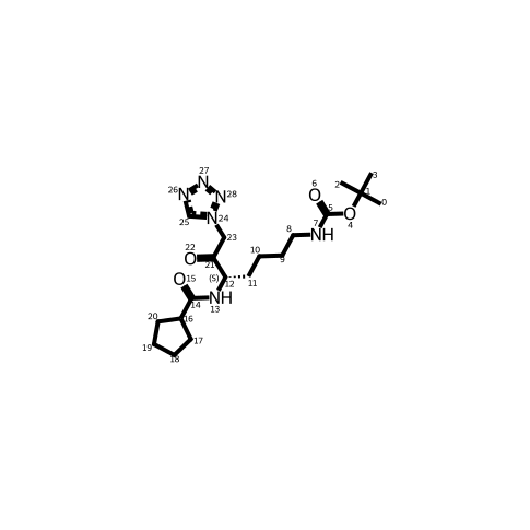 CC(C)(C)OC(=O)NCCCC[C@H](NC(=O)C1CCCC1)C(=O)Cn1cnnn1